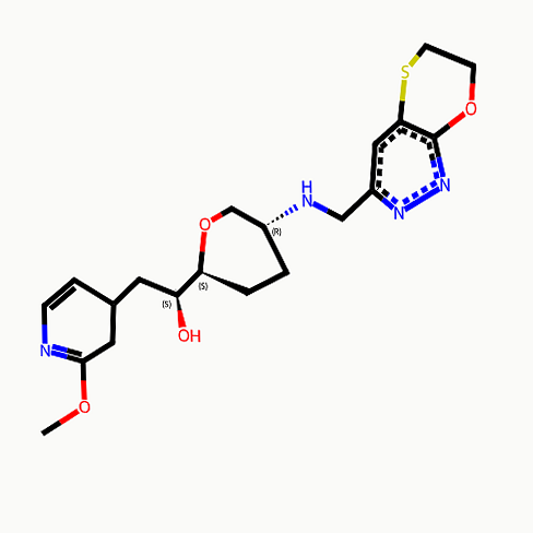 COC1=NC=CC(C[C@H](O)[C@@H]2CC[C@@H](NCc3cc4c(nn3)OCCS4)CO2)C1